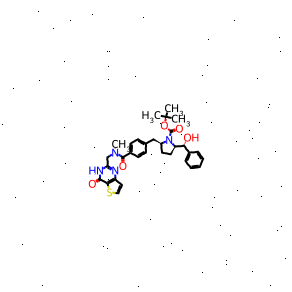 CN(Cc1nc2ccsc2c(=O)[nH]1)C(=O)c1ccc(C[C@@H]2CC[C@H]([C@H](O)c3ccccc3)N2C(=O)OC(C)(C)C)cc1